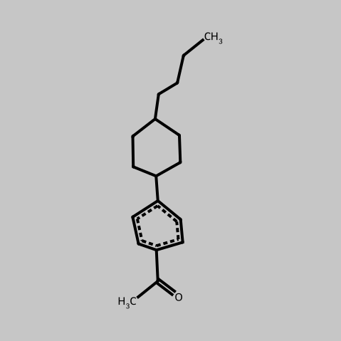 CCCCC1CCC(c2ccc(C(C)=O)cc2)CC1